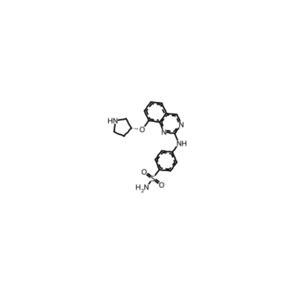 NS(=O)(=O)c1ccc(Nc2ncc3cccc(O[C@@H]4CCNC4)c3n2)cc1